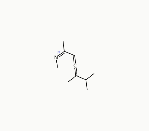 C/N=C(/C)C=C=C(C)C(C)C